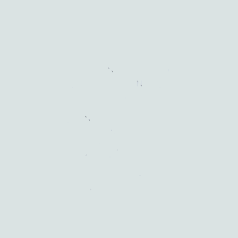 COC(=O)c1cccc(-c2coc(-c3nc(C4CCCCC4)n(C(=O)OC(C)(C)C)c3COC34CC5CC(CC(C5)C3)C4)n2)c1